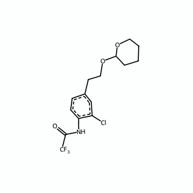 O=C(Nc1ccc(CCOC2CCCCO2)cc1Cl)C(F)(F)F